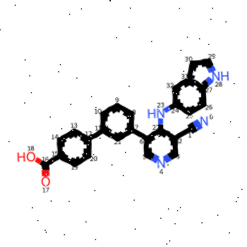 N#Cc1cncc(-c2cccc(-c3ccc(C(=O)O)cc3)c2)c1Nc1ccc2[nH]ccc2c1